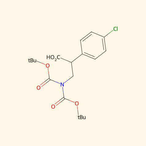 CC(C)(C)OC(=O)N(CC(C(=O)O)c1ccc(Cl)cc1)C(=O)OC(C)(C)C